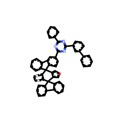 c1ccc(-c2cccc(-c3nc(-c4ccccc4)nc(-c4ccc5c(c4)-c4ccccc4C54c5ccccc5C5(c6ccccc6-c6ccccc65)c5ccccc54)n3)c2)cc1